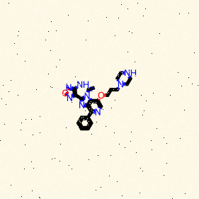 CCn1c(-c2nonc2N)nc2c(-c3ccccc3)ncc(OCCCN3CCNCC3)c21